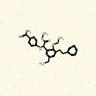 [CH2]COc1c(CCc2ccccc2)cc(CC)cc1C(Nc1ccc(C(=N)N)cc1)C(=O)OC